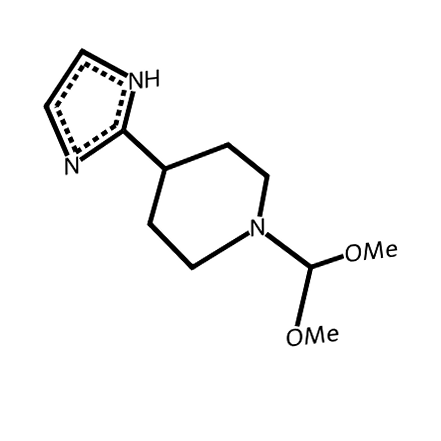 COC(OC)N1CCC(c2ncc[nH]2)CC1